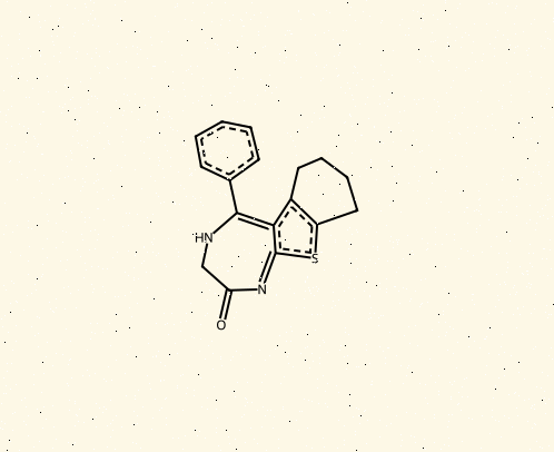 O=C1CNC(c2ccccc2)=c2c3c(sc2=N1)CCCC3